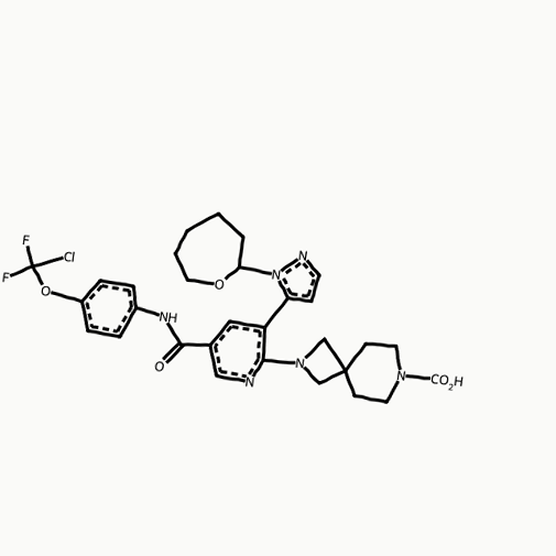 O=C(Nc1ccc(OC(F)(F)Cl)cc1)c1cnc(N2CC3(CCN(C(=O)O)CC3)C2)c(-c2ccnn2C2CCCCCO2)c1